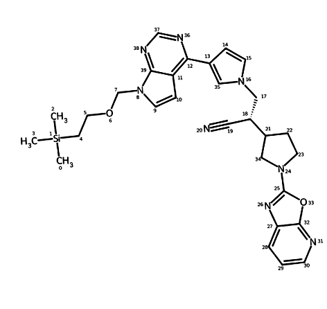 C[Si](C)(C)CCOCn1ccc2c(-c3ccn(C[C@@H](C#N)C4CCN(c5nc6cccnc6o5)C4)c3)ncnc21